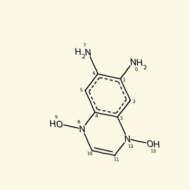 Nc1cc2c(cc1N)N(O)C=CN2O